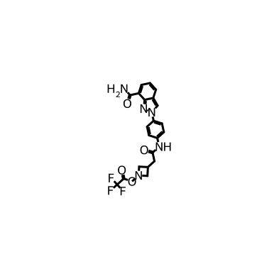 NC(=O)c1cccc2cn(-c3ccc(NC(=O)CC4CN(OC(=O)C(F)(F)F)C4)cc3)nc12